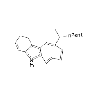 CCCCC[C@@H](C)C1=C/c2c([nH]c3c2CCC=C3)/C=C/C=C\1